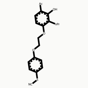 CCCc1c(OCCOc2ccc(SC#N)cc2)ccc(C(C)=O)c1O